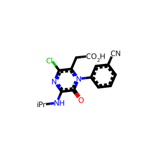 CC(C)Nc1nc(Cl)c(CC(=O)O)n(-c2cccc(C#N)c2)c1=O